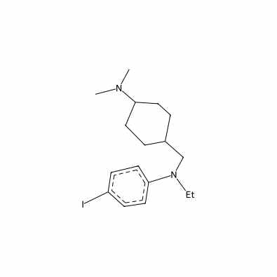 CCN(CC1CCC(N(C)C)CC1)c1ccc(I)cc1